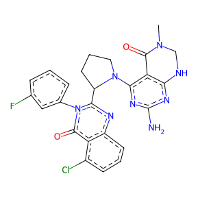 CN1CNc2nc(N)nc(N3CCCC3c3nc4cccc(Cl)c4c(=O)n3-c3cccc(F)c3)c2C1=O